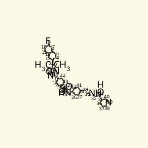 CC(C)(c1ccc2cc(F)ccc2c1)c1nc(-c2ccc(S(=O)(=O)Nc3ccc(CCNCC(O)c4cccnc4)cc3)cc2)no1